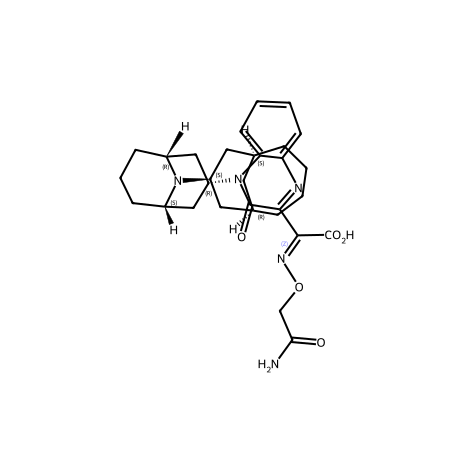 NC(=O)CO/N=C(\C(=O)O)c1nc2ccccc2n([C@H]2C[C@H]3CCC[C@@H](C2)N3[C@@H]2C[C@@H]3CCCC[C@@H](C3)C2)c1=O